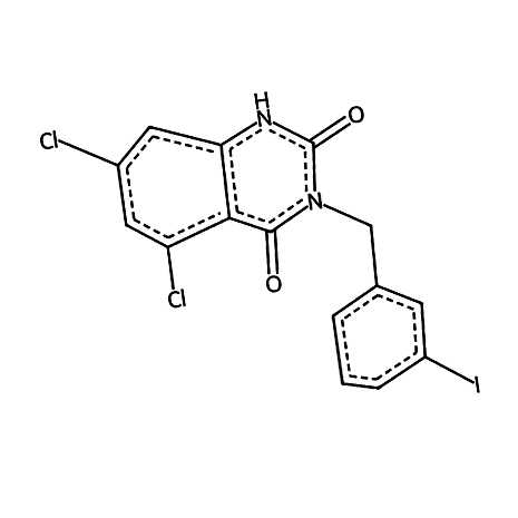 O=c1[nH]c2cc(Cl)cc(Cl)c2c(=O)n1Cc1cccc(I)c1